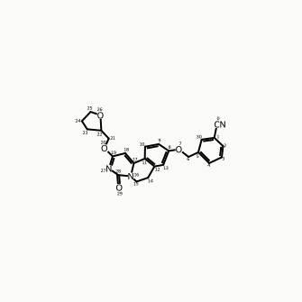 N#Cc1cccc(COc2ccc3c(c2)CCn2c-3cc(OCC3CCCO3)nc2=O)c1